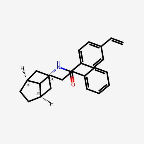 C=Cc1ccc(C(=O)N[C@@H]2C[C@H]3CC[C@@H](C2)C3CCCc2ccccc2)cc1